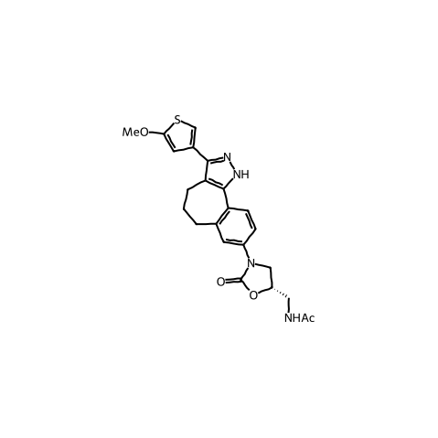 COc1cc(-c2n[nH]c3c2CCCc2cc(N4C[C@H](CNC(C)=O)OC4=O)ccc2-3)cs1